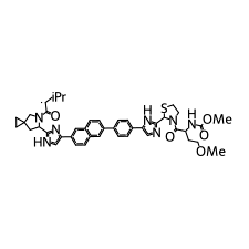 COCCC(NC(=O)OC)C(=O)N1CCSC1c1ncc(-c2ccc(-c3ccc4cc(-c5c[nH]c(C6CC7(CC7)CN6C(=O)[CH]C(C)C)n5)ccc4c3)cc2)[nH]1